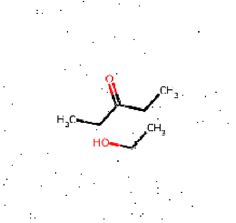 CCC(=O)CC.CCO